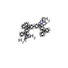 C=C/C=C\C(=C1\C=CC=CC1)N(c1ccc(-c2ccc(N(c3ccc(N(/C(C=C)=C/C=C)c4ccccc4)cc3)c3cccc4ccccc34)cc2)cc1)c1ccc(N(c2ccccc2)C2C=CC=CC2)cc1